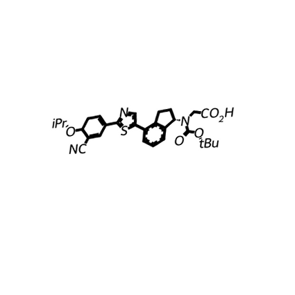 CC(C)OC1CC=C(c2ncc(-c3cccc4c3CC[C@@H]4N(CC(=O)O)C(=O)OC(C)(C)C)s2)C=C1C#N